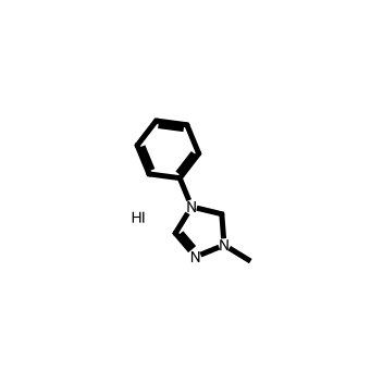 CN1CN(c2ccccc2)C=N1.I